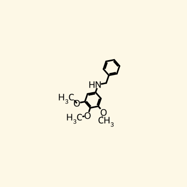 COc1cc(NCc2ccccc2)cc(OC)c1OC